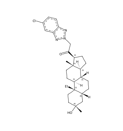 CC[C@]12CC[C@@](C)(O)C[C@H]1CC[C@H]1[C@@H]3CC[C@H](C(=O)Cn4nc5ccc(Cl)cc5n4)[C@@]3(C)CC[C@@H]12